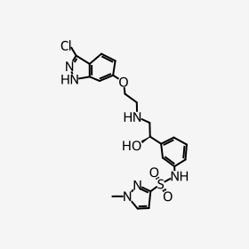 Cn1ccc(S(=O)(=O)Nc2cccc([C@@H](O)CNCCOc3ccc4c(Cl)n[nH]c4c3)c2)n1